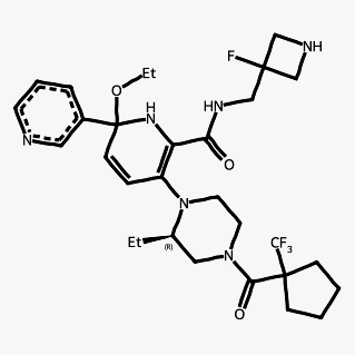 CCOC1(c2cccnc2)C=CC(N2CCN(C(=O)C3(C(F)(F)F)CCCC3)C[C@H]2CC)=C(C(=O)NCC2(F)CNC2)N1